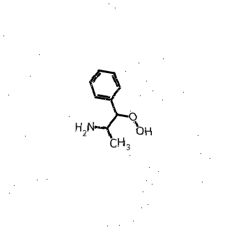 CC(N)C(OO)c1ccccc1